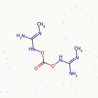 CN=C(N)NOC(=O)ONC(N)=NC